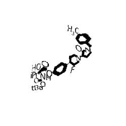 Cc1ccc(CN2CC[C@@H](N3CC[C@@H](c4ccc(OC(=O)C(O)(NC(=O)OC(C)(C)C)C(C)C)cc4)[C@H](F)C3)C2=O)cc1